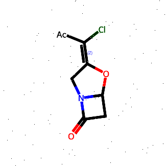 CC(=O)/C(Cl)=C1\CN2C(=O)CC2O1